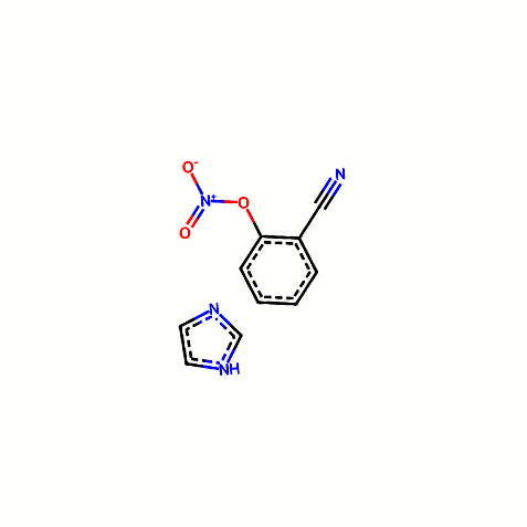 N#Cc1ccccc1O[N+](=O)[O-].c1c[nH]cn1